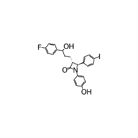 O=C1[C@H](CC[C@H](O)c2ccc(F)cc2)[C@@H](c2ccc(I)cc2)N1c1ccc(O)cc1